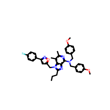 CCCc1nc2c(N(Cc3ccc(OC)cc3)Cc3ccc(OC)cc3)nc(C)c(C)c2n1Cc1cc(-c2ccc(F)cc2)no1